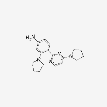 Nc1ccc(-c2nccc(N3CCCC3)n2)c(N2CCCC2)c1